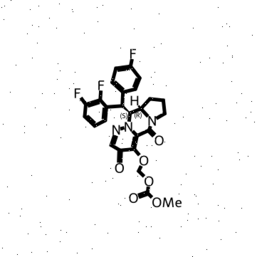 COC(=O)OCOc1c2n(ncc1=O)[C@@H](C(c1ccc(F)cc1)c1cccc(F)c1F)[C@H]1CCCN1C2=O